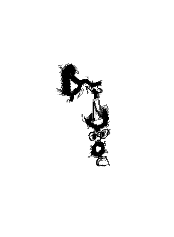 Cc1ccc(C)c(Cc2csc(N3CCC(S(=O)(=O)c4ccc(Cl)cc4)CC3)n2)c1